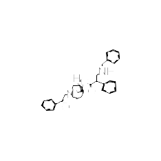 O=C(C[N+]12CCC(CC1)[C@@H](OC(=O)C(CNCc1ccccc1)c1ccccc1)C2)c1ccccc1